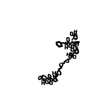 O=C1CCC(N2C(=O)c3cccc(NCCOCCOCCOCCOC(=O)Nc4cccn([C@@H](CC5CC5)C(=O)N[C@@H](C[C@@H]5CCNC5=O)C(=O)C(=O)NCc5ccccc5)c4=O)c3C2=O)C(=O)N1